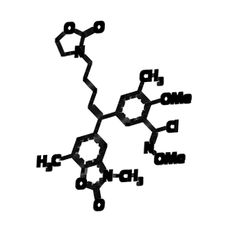 CON=C(Cl)c1cc(/C(=C\CCCN2CCOC2=O)c2cc(C)c3oc(=O)n(C)c3c2)cc(C)c1OC